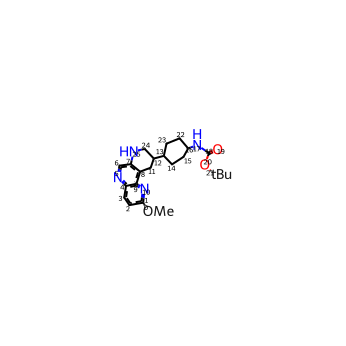 COc1ccc2ncc3c(c2n1)CC(C1CCC(NC(=O)OC(C)(C)C)CC1)CN3